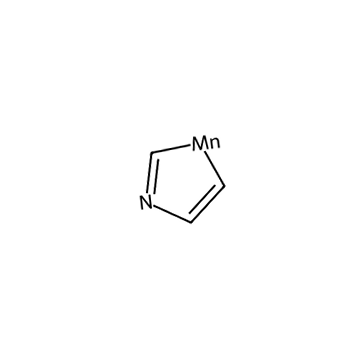 C1=[CH][Mn][CH]=N1